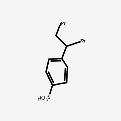 CC(C)CC(c1ccc(S(=O)(=O)O)cc1)C(C)C